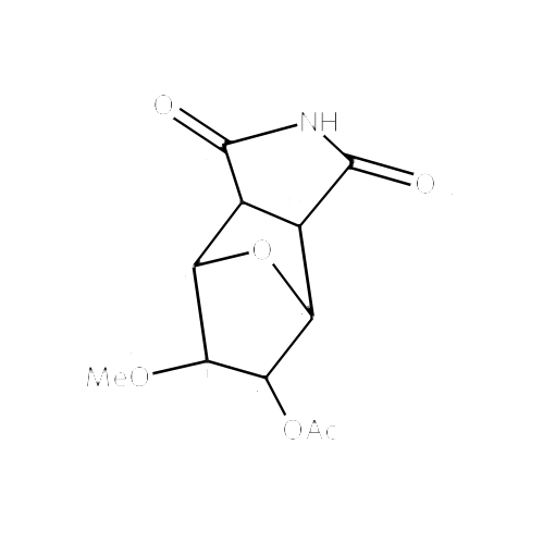 COC1C(OC(C)=O)C2OC1C1C(=O)NC(=O)C21